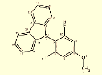 COc1cc(F)c(-[s+]2c3ccccc3c3ccccc32)c(F)c1